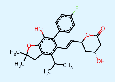 CC(C)c1c(/C=C/[C@@H]2C[C@@H](O)CC(=O)O2)c(-c2ccc(F)cc2)c(O)c2c1CC(C)(C)O2